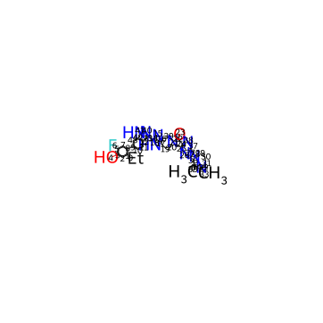 CCc1cc(O)c(F)cc1-c1ccc2c(-c3nc4c([nH]3)CCN(C(=O)c3cnc(N5CCCN(C)[C@H](C)C5)cn3)C4)n[nH]c2c1